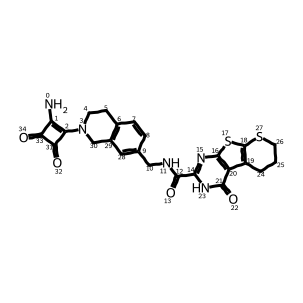 Nc1c(N2CCc3ccc(CNC(=O)c4nc5sc6c(c5c(=O)[nH]4)CCCS6)cc3C2)c(=O)c1=O